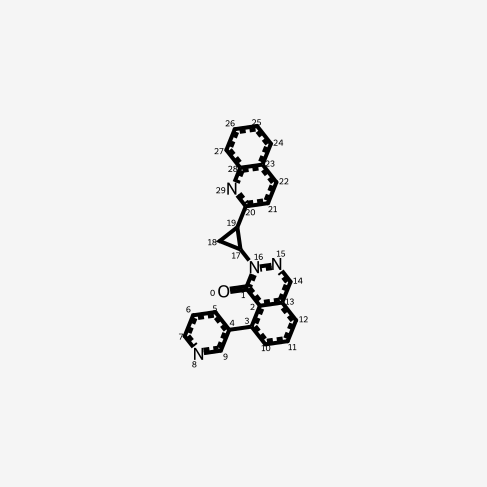 O=c1c2c(-c3cccnc3)cccc2cnn1C1CC1c1ccc2ccccc2n1